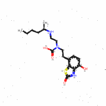 CCCC[C@@H](C)NCCN(CCc1ccc(O)c2[nH]c(=O)sc12)C(=O)O